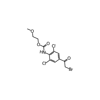 COCCOC(=O)Nc1c(Cl)cc(C(=O)CBr)cc1Cl